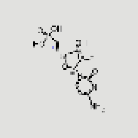 Nc1ccn([C@@H]2O[C@H](/C=C/P(=O)(O)O)[C@@H](O)[C@H]2F)c(=O)n1